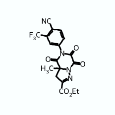 CCOC(=O)C1=NN2C(=O)C(=O)N(c3ccc(C#N)c(C(F)(F)F)c3)C(=O)C2(C)C1